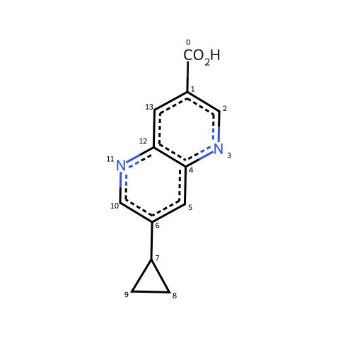 O=C(O)c1cnc2cc(C3CC3)cnc2c1